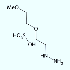 COCCOCCNN.O=S(=O)(O)O